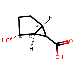 O=C(O)C1[C@H]2[C@H](O)CC[C@@H]12